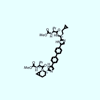 COC(=O)N[C@H](C(=O)N[C@@H](CCC1CC1)c1ncc(-c2ccc(-c3ccc(-c4cnc([C@@H]5CCC6CC6N5C(=O)[C@@H](NC(=O)OC)C(C)C)[nH]4)cc3)cc2)[nH]1)C(C)C